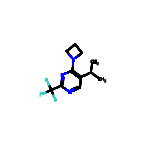 CC(C)c1cnc(C(F)(F)F)nc1N1CCC1